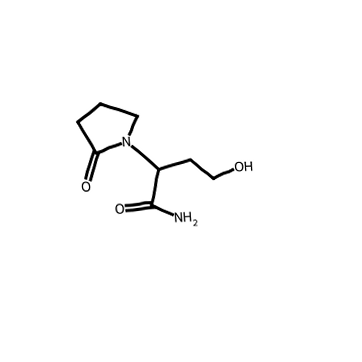 NC(=O)C(CCO)N1CCCC1=O